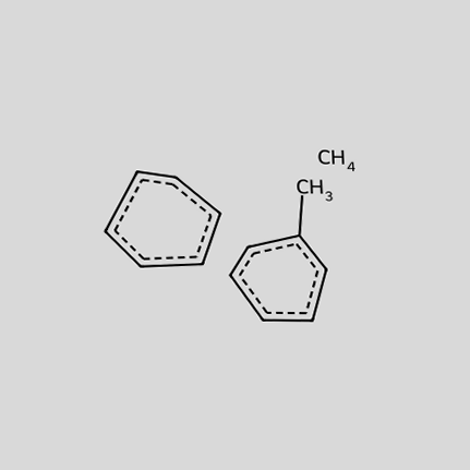 C.Cc1ccccc1.c1ccccc1